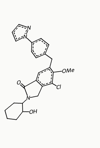 COc1c(Cc2ccc(-n3cccn3)cc2)cc2c(c1Cl)CN(C1CCCCC1O)C2=O